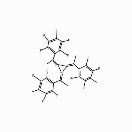 CC(=C1C(=C(\C)c2c(F)c(F)c(C)c(F)c2F)/[N+]1=C(\C)c1c(F)c(F)c(C)c(F)c1F)c1c(F)c(F)c(C)c(F)c1F